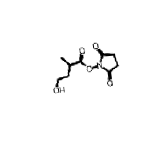 CC(CCO)C(=O)ON1C(=O)CCC1=O